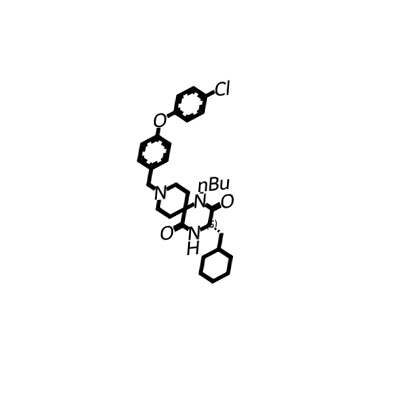 CCCCN1C(=O)[C@H](CC2CCCCC2)NC(=O)C12CCN(Cc1ccc(Oc3ccc(Cl)cc3)cc1)CC2